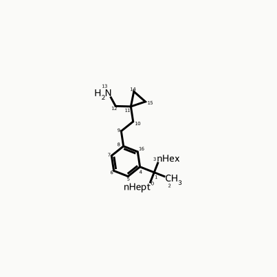 CCCCCCCC(C)(CCCCCC)c1cccc(CCC2(CN)CC2)c1